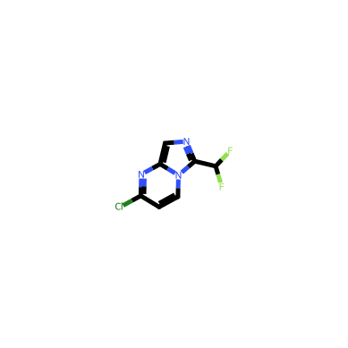 FC(F)c1ncc2nc(Cl)ccn12